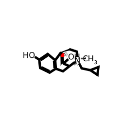 C[N@+]1(CC2CC2)CC[C@]23CCCCC2(O)C1Cc1ccc(O)cc13